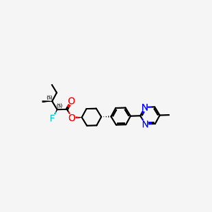 CC[C@H](C)[C@H](F)C(=O)O[C@H]1CC[C@H](c2ccc(-c3ncc(C)cn3)cc2)CC1